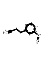 C#CCCc1ccnc(P=O)c1